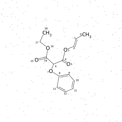 CC=COC(=O)C(Oc1ccccc1)C(=O)OCC